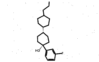 CCCC1CCC([C@H]2CC[C@](O)(c3cccc(F)c3)CC2)CC1